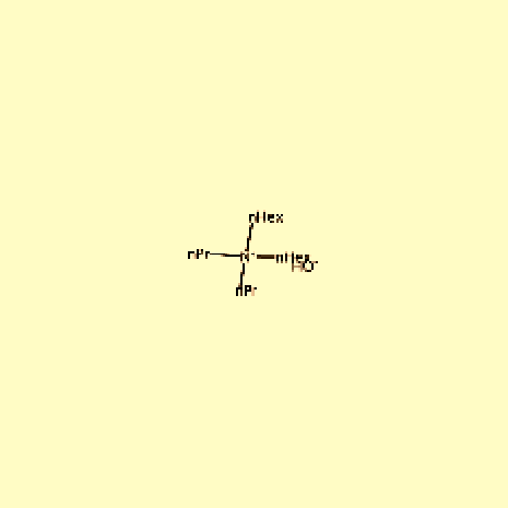 CCCCCC[N+](CCC)(CCC)CCCCCC.[OH-]